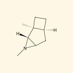 CN1C2C[C@@H]3CC[C@]3(C)[C@H]21